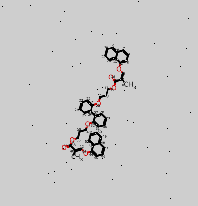 CC(=COc1cccc2ccccc12)C(=O)OCCCOc1ccccc1-c1ccccc1OCCCOC(=O)C(C)=COc1cccc2ccccc12